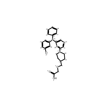 O=C(O)COCC1CCN(c2cncc(N(c3ccccc3)c3cccc(Cl)c3)n2)CC1